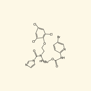 CC(C)(C)OC(=O)Nc1ccc(Br)cn1.CCCN(CCOc1c(Cl)cc(Cl)cc1Cl)C(=O)n1ccnc1